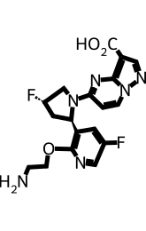 NCCOc1ncc(F)cc1[C@H]1C[C@H](F)CN1c1ccn2ncc(C(=O)O)c2n1